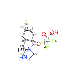 O=C(O)C(F)(F)F.O=C1c2ccc(CF)cc2C[C@@H]2CNCCN12